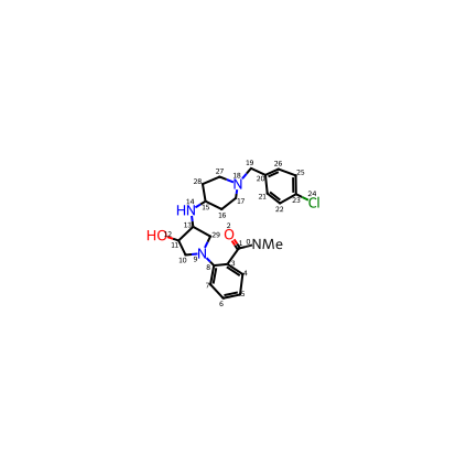 CNC(=O)c1ccccc1N1CC(O)C(NC2CCN(Cc3ccc(Cl)cc3)CC2)C1